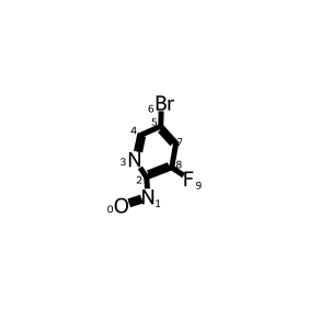 O=Nc1ncc(Br)cc1F